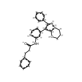 O=C(CCc1ccccc1)Nc1cc(-c2c(-c3ccccc3)nn3c2OCCC3)ccn1